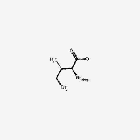 CC[C@H](C)[C@H](N)C(=O)[O-].[Na+]